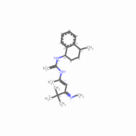 C=C(N/C(C)=C/C(=N\C)C(C)(C)C)NC1CCC(C)c2ccccc21